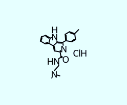 Cc1ccc(-c2nc(C(=O)NCCN(C)C)cc3c2[nH]c2ccccc23)cc1.Cl